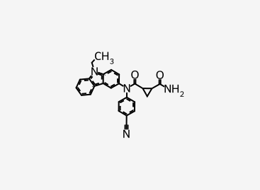 CCn1c2ccccc2c2cc(N(C(=O)C3CC3C(N)=O)c3ccc(C#N)cc3)ccc21